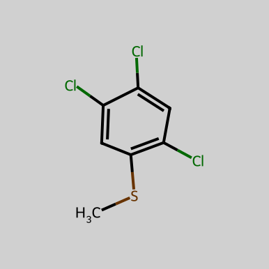 CSc1cc(Cl)c(Cl)cc1Cl